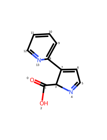 O=C(O)C1N=CC=C1c1ccccn1